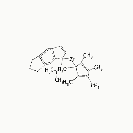 CC1=C(C)[C](C)([Zr][C]2(CC(C)C)C=Cc3cc4c(cc32)CCC4)C(C)=C1C